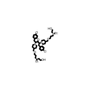 CCN(CCO)CCCOCC1CCN(C(Cc2ccc(Cl)cc2)C(=O)C(Cc2ccc(Cl)cc2)N2CCC(COCCCN(CC)CCO)CC2)CC1